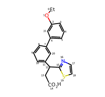 CCOc1cccc(-c2cccc(C(CC(=O)O)c3nccs3)c2)c1